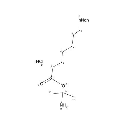 CCCCCCCCCCCCCCCC(=O)OC(C)(C)N.Cl